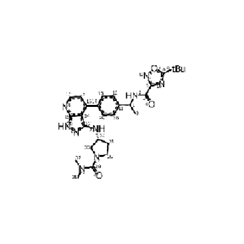 CC(NC(=O)c1noc(C(C)(C)C)n1)c1ccc(-c2ccnc3[nH]nc(N[C@@H]4CCN(C(=O)N(C)C)C4)c23)cc1